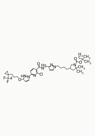 CC(C)(C)OC(=O)N1CC(CCCCn2ccc(SNC(=O)c3ccc(N4C=CC(OCCCC5(C(F)(F)F)CC5)N4)nc3Cl)n2)CC1(C)C